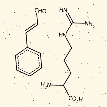 N=C(N)NCCCC(N)C(=O)O.O=CC=Cc1ccccc1